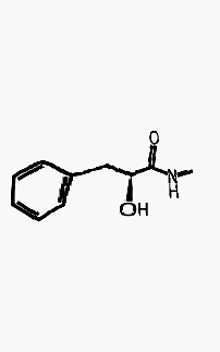 CNC(=O)[C@@H](O)Cc1ccccc1